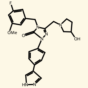 COc1cc(F)cc(Cn2c(CN3CCC(O)C3)nn(-c3ccc(-c4cn[nH]c4)cc3)c2=O)c1